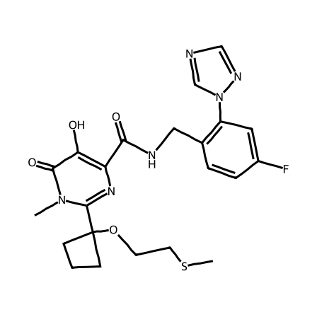 CSCCOC1(c2nc(C(=O)NCc3ccc(F)cc3-n3cncn3)c(O)c(=O)n2C)CCC1